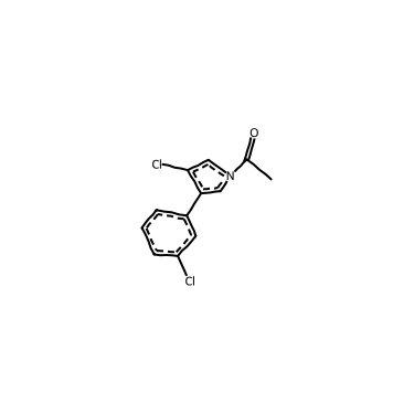 CC(=O)n1cc(Cl)c(-c2cccc(Cl)c2)c1